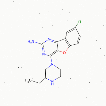 CCC1CN(c2nc(N)nc3c2oc2ccc(Cl)cc23)CCN1